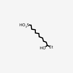 CCC(O)CCCCCCCCCS(=O)(=O)O